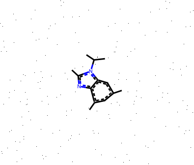 Cc1cc(C)c2nc(C)n(C(C)C)c2c1